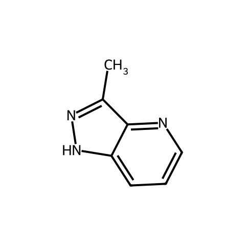 Cc1n[nH]c2cccnc12